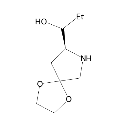 CCC(O)[C@@H]1CC2(CN1)OCCO2